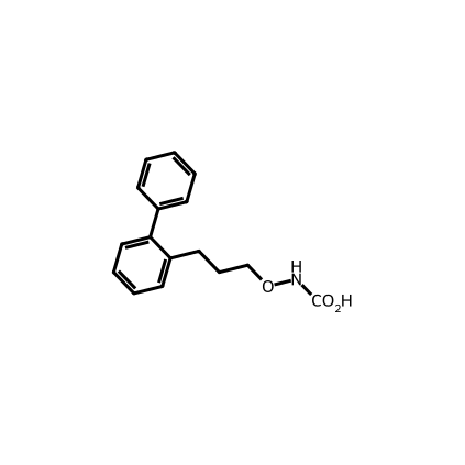 O=C(O)NOCCCc1ccccc1-c1ccccc1